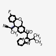 C/C(C#N)=C1\c2ccc(C(O)c3c(C(C)C)nc4ccccn34)cc2COc2cc(F)ccc21